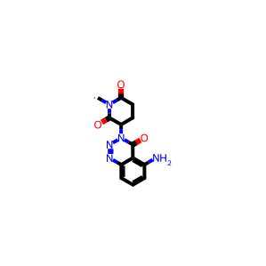 [CH2]N1C(=O)CCC(n2nnc3cccc(N)c3c2=O)C1=O